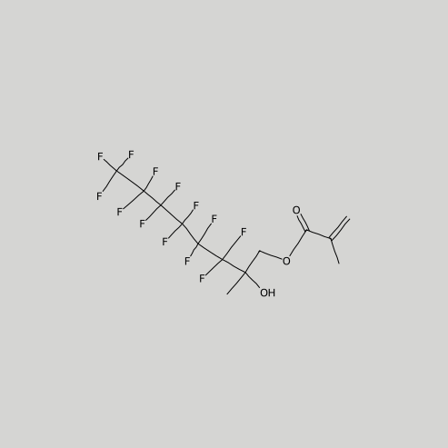 C=C(C)C(=O)OCC(C)(O)C(F)(F)C(F)(F)C(F)(F)C(F)(F)C(F)(F)C(F)(F)F